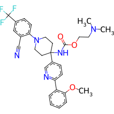 COc1ccccc1-c1ccc(C2(NC(=O)OCCN(C)C)CCN(c3ccc(C(F)(F)F)cc3C#N)CC2)cn1